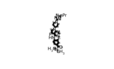 CCCn1nnc(N2CCC(n3cc(F)c4c(Nc5ccc(C(=O)N(C)C)cc5F)ncnc43)CC2)n1